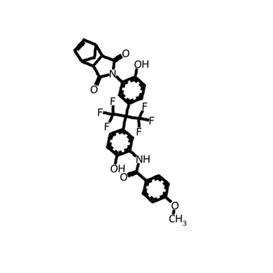 COc1ccc(C(=O)Nc2cc(C(c3ccc(O)c(N4C(=O)C5C6C=CC(C6)C5C4=O)c3)(C(F)(F)F)C(F)(F)F)ccc2O)cc1